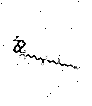 CN(C)c1cccc2c(S(=O)(=O)NCCCCCC(=O)NCCCNCCCCN)cccc12